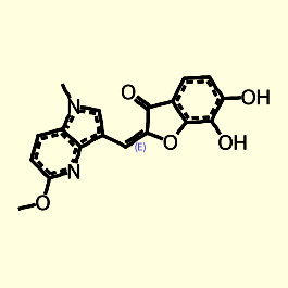 COc1ccc2c(n1)c(/C=C1/Oc3c(ccc(O)c3O)C1=O)cn2C